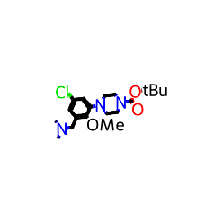 COc1c(CN(C)C)cc(Cl)cc1N1CCN(C(=O)OC(C)(C)C)CC1